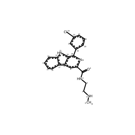 CNCCNC(=O)c1cc2c([nH]c3ccccc32)c(-c2cccc(Cl)c2)n1